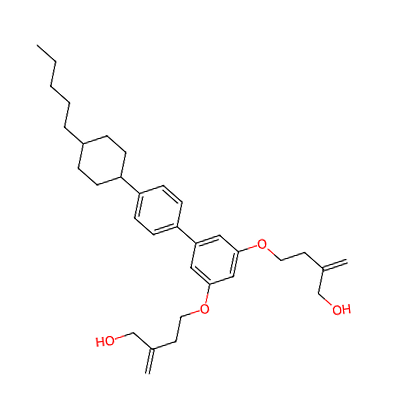 C=C(CO)CCOc1cc(OCCC(=C)CO)cc(-c2ccc(C3CCC(CCCCC)CC3)cc2)c1